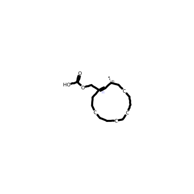 C[C@H]1/C=C(\COC(=O)O)CCCCCCCCCCCC1